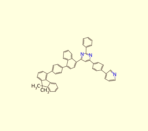 CC1(C)c2ccccc2-c2c(-c3ccc(-c4ccc(-c5cc(-c6ccc(-c7cccnc7)cc6)nc(-c6ccccc6)n5)c5ccccc45)cc3)cccc21